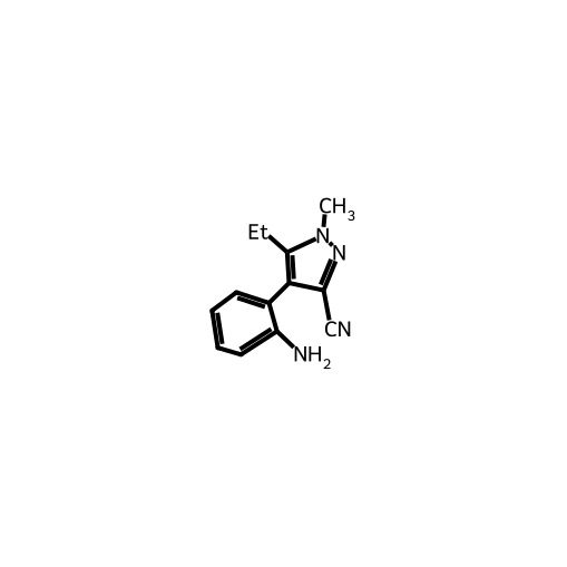 CCc1c(-c2ccccc2N)c(C#N)nn1C